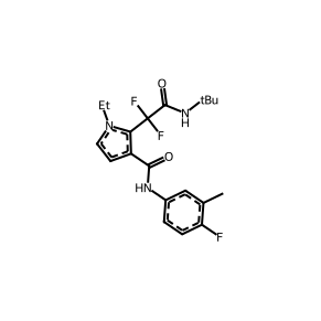 CCn1ccc(C(=O)Nc2ccc(F)c(C)c2)c1C(F)(F)C(=O)NC(C)(C)C